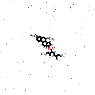 CCCCCCCCCCC1Cc2cc(OC(C)=O)ccc2C2CCC3(C)C(OC(=O)C(CCC(C)CC(C)(C)C)C(C)CC(C)(C)C)CCC3C12